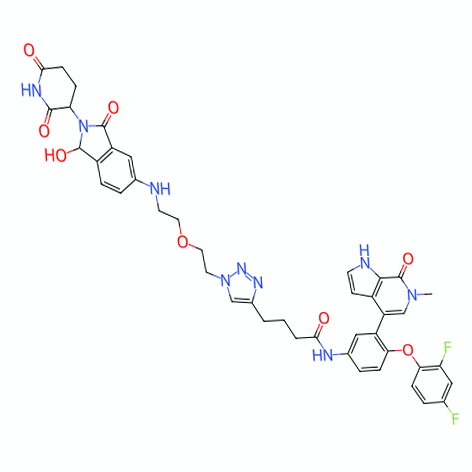 Cn1cc(-c2cc(NC(=O)CCCc3cn(CCOCCNc4ccc5c(c4)C(=O)N(C4CCC(=O)NC4=O)C5O)nn3)ccc2Oc2ccc(F)cc2F)c2cc[nH]c2c1=O